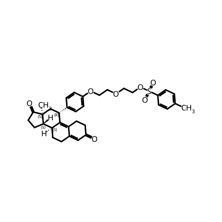 Cc1ccc(S(=O)(=O)OCCOCCOc2ccc([C@H]3C[C@]4(C)C(=O)CC[C@H]4[C@@H]4CCC5=CC(=O)CCC5=C43)cc2)cc1